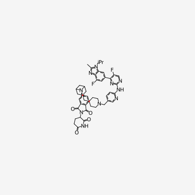 Cc1nc2c(F)cc(-c3nc(Nc4ccc(CN5CCC(CN6CC7CC(C6)N7c6ccc7c(c6)C(=O)N(C6CCC(=O)NC6=O)C7=O)CC5)cn4)ncc3F)cc2n1C(C)C